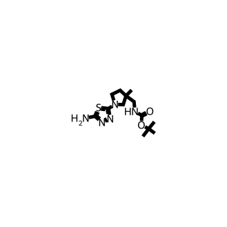 CC1(CNC(=O)OC(C)(C)C)CCN(c2nnc(N)s2)C1